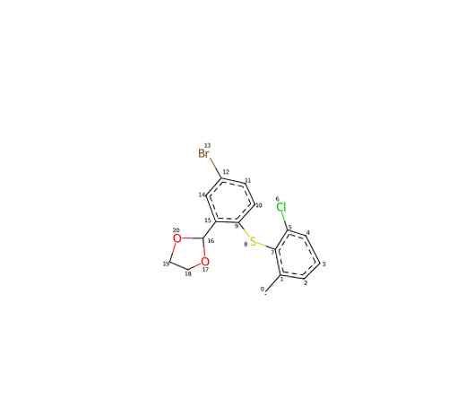 [CH2]c1cccc(Cl)c1Sc1ccc(Br)cc1C1OCCO1